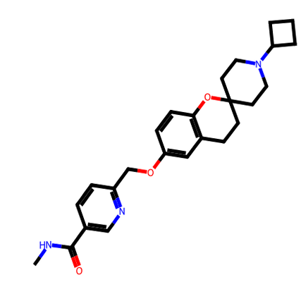 CNC(=O)c1ccc(COc2ccc3c(c2)CCC2(CCN(C4CCC4)CC2)O3)nc1